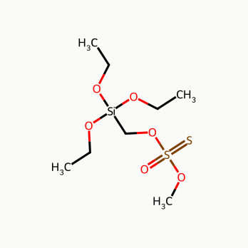 CCO[Si](COS(=O)(=S)OC)(OCC)OCC